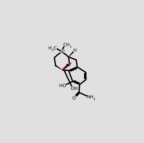 C[N+]1(C)CC[C@]23CC(O)C=CC2[C@H]1Cc1ccc(C(N)=O)c(O)c13